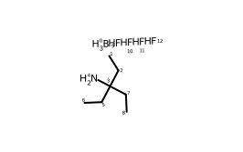 B.CCC(N)(CC)CC.F.F.F.F